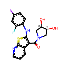 O=C(c1c(Nc2ccc(I)cc2F)sc2ncccc12)N1C[C@@H](O)[C@@H](O)C1